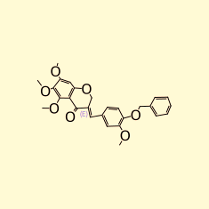 COc1cc(/C=C2\COc3cc(OC)c(OC)c(OC)c3C2=O)ccc1OCc1ccccc1